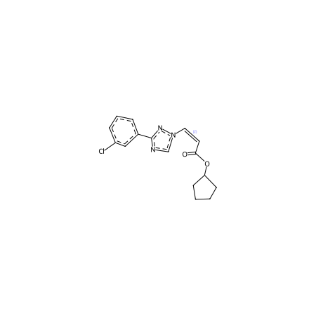 O=C(/C=C\n1cnc(-c2cccc(Cl)c2)n1)OC1CCCC1